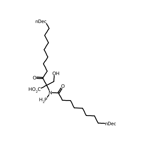 CCCCCCCCCCCCCCCCCC(=O)N(P)C(CO)(C(=O)O)C(=O)CCCCCCCCCCCCCCCCC